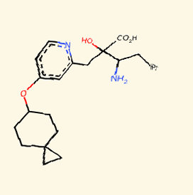 CC(C)CC(N)C(O)(Cc1cc(OC2CCC3(CC2)CC3)ccn1)C(=O)O